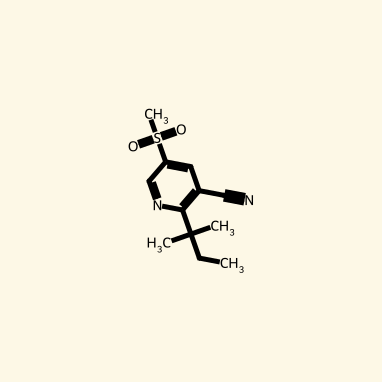 CCC(C)(C)c1ncc(S(C)(=O)=O)cc1C#N